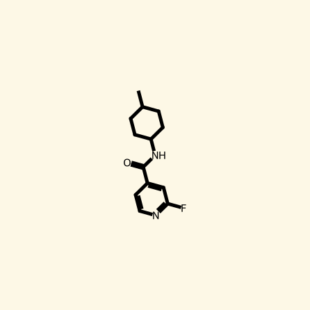 CC1CCC(NC(=O)c2ccnc(F)c2)CC1